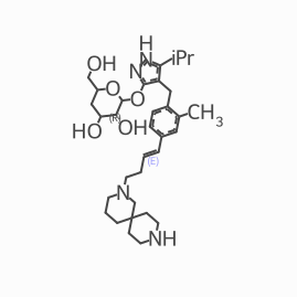 Cc1cc(/C=C/CCN2CCCC3(CCNCC3)C2)ccc1Cc1c(OC2OC(CO)CC(O)[C@H]2O)n[nH]c1C(C)C